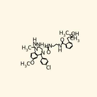 COc1ccc2c(c1)C(c1ccc(Cl)cc1)=N[C@@H](CC(=O)NCCNC(=O)c1ccccc1C[Si](C)(C)O)C1NNC(C)N21